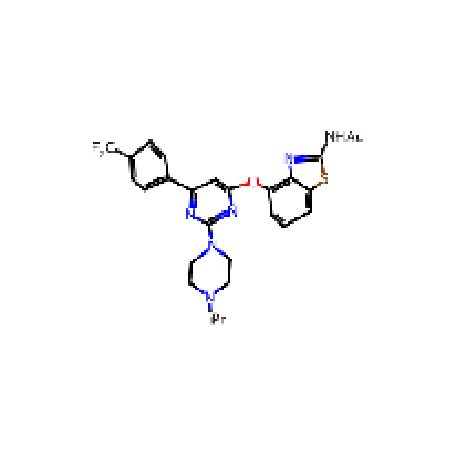 CC(=O)Nc1nc2c(Oc3cc(-c4ccc(C(F)(F)F)cc4)nc(N4CCN(C(C)C)CC4)n3)cccc2s1